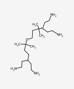 CC(C)(CCN(CCN)CCN)OCCC(C)(C)N(CCN)CCN